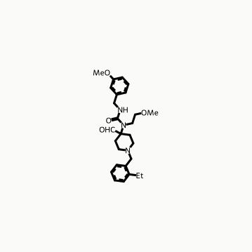 CCc1ccccc1CN1CCC(C=O)(N(CCOC)C(=O)NCc2cccc(OC)c2)CC1